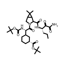 CCC[C@H](NC(=O)C1C2C(CN1C(=O)[C@@H](NC(=O)OC(C)(C)C)C1CCC[C@@H](C(=O)OC(C)(C)C)C1)C2(C)C)C(=O)C(N)=O